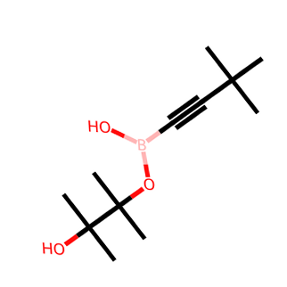 CC(C)(C)C#CB(O)OC(C)(C)C(C)(C)O